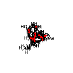 CN[C@@H](CC(C)C)C(=O)N[C@H]1C(=O)N[C@@H](CC(N)=O)C(=O)N[C@H]2C(=O)N[C@H]3C(=O)N[C@H](C(=O)N[C@@H](C(=O)O)c4cc(O)cc(O)c4-c4cc3ccc4O)[C@H](O)c3ccc(c(Cl)c3)Oc3cc2cc(c3OC2OC(CSc3nnc(NN)n3N)C(O)C(O)C2OC2CC(C)(NCc3ccc(-c4ccc(Cl)cc4)cc3)C(O)C(C)O2)Oc2ccc(cc2Cl)[C@H]1O